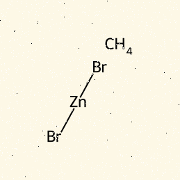 C.[Br][Zn][Br]